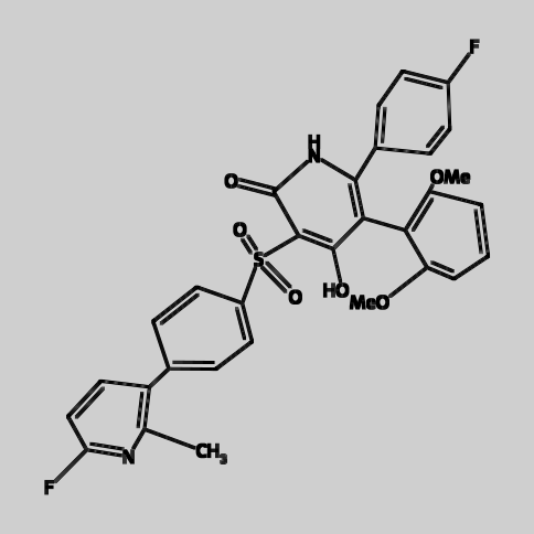 COc1cccc(OC)c1-c1c(-c2ccc(F)cc2)[nH]c(=O)c(S(=O)(=O)c2ccc(-c3ccc(F)nc3C)cc2)c1O